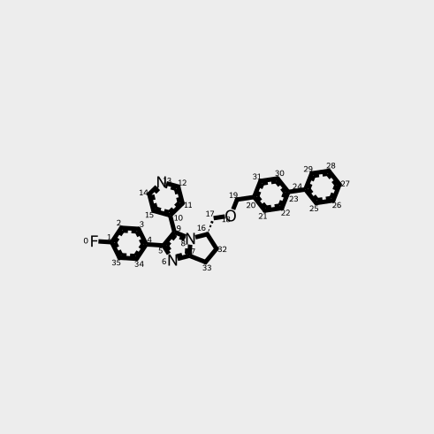 Fc1ccc(-c2nc3n(c2-c2ccncc2)[C@H](COCc2ccc(-c4ccccc4)cc2)CC3)cc1